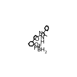 BC(F)(F)Oc1ccccc1-c1ccc(-c2nc(-c3ccccc3)c(C)[nH]2)o1